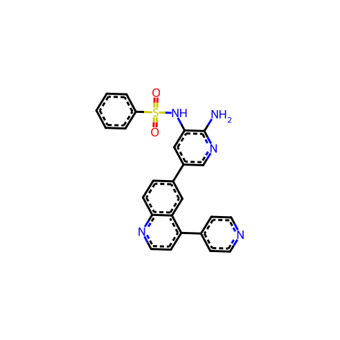 Nc1ncc(-c2ccc3nccc(-c4ccncc4)c3c2)cc1NS(=O)(=O)c1ccccc1